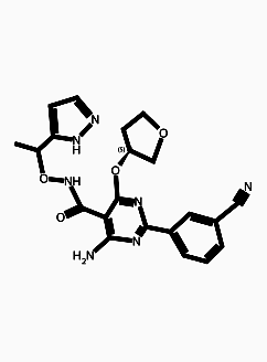 CC(ONC(=O)c1c(N)nc(-c2cccc(C#N)c2)nc1O[C@H]1CCOC1)c1ccn[nH]1